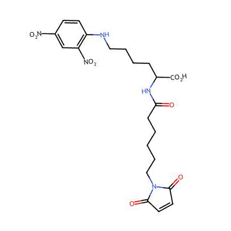 O=C(CCCCCN1C(=O)C=CC1=O)NC(CCCCNc1ccc([N+](=O)[O-])cc1[N+](=O)[O-])C(=O)O